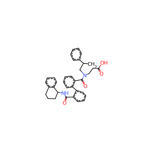 CC(CN(CCC(=O)O)C(=O)c1ccccc1-c1ccccc1C(=O)NC1CCCc2ccccc21)c1ccccc1